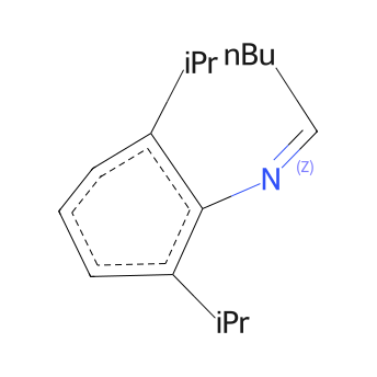 CCCC/C=N\c1c(C(C)C)cccc1C(C)C